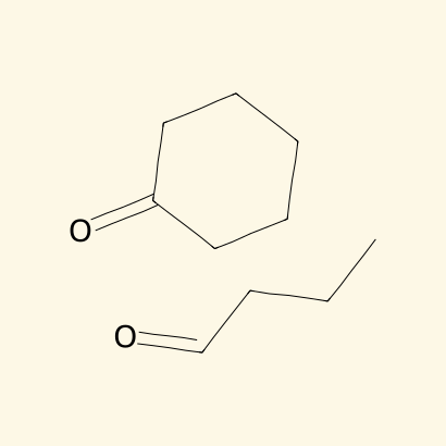 CCCC=O.O=C1CCCCC1